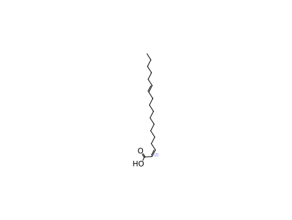 CCCCCC=CCCCCCCCC/C=C\C(=O)O